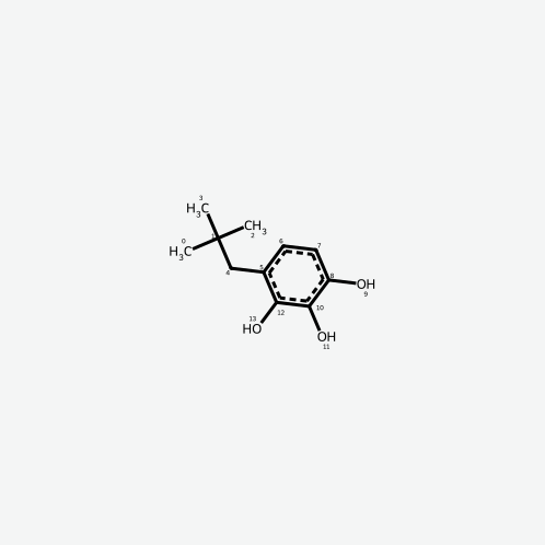 CC(C)(C)Cc1ccc(O)c(O)c1O